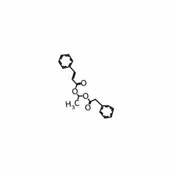 CC(OC(=O)C=Cc1ccccc1)OC(=O)Cc1ccccc1